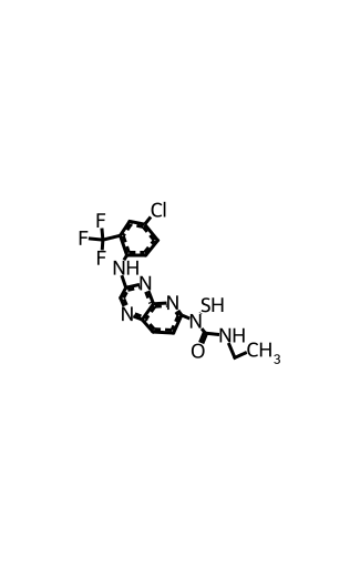 CCNC(=O)N(S)c1ccc2ncc(Nc3ccc(Cl)cc3C(F)(F)F)nc2n1